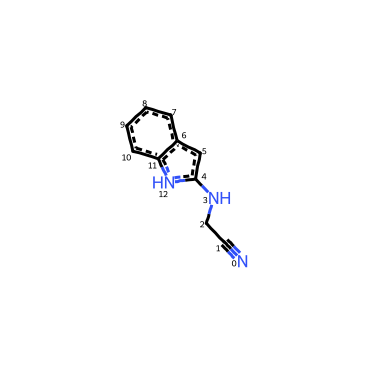 N#CCNc1cc2ccccc2[nH]1